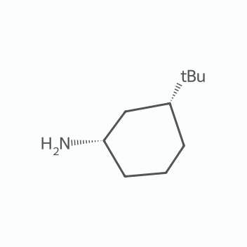 CC(C)(C)[C@@H]1CCC[C@H](N)C1